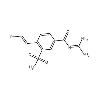 CCC=Cc1ccc(C(=O)N=C(N)N)cc1S(C)(=O)=O